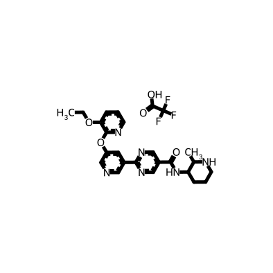 CCOc1cccnc1Oc1cncc(-c2ncc(C(=O)NC3CCCNC3C)cn2)c1.O=C(O)C(F)(F)F